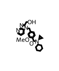 COc1cc(Cn2c(CO)nc3ncccc32)ccc1C(=O)N(C1CCCCC1)C1CC1